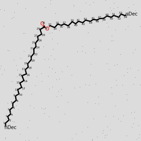 CCCCCCCCCCCCCCCCCCCCCCCCCCCCCCCCCCCCCCCC(=O)OCCCCCCCCCCCCCCCCCCCCCCCCCCCCCCCC